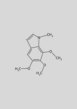 COc1cc2[c]cn(C)c2c(OC)c1OC